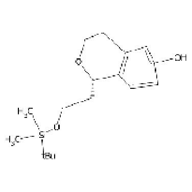 CC(C)(C)[Si](C)(C)OCC[C@@H]1OCCc2cc(O)ccc21